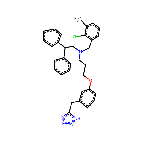 FC(F)(F)c1cccc(CN(CCCOc2cccc(Cc3nnn[nH]3)c2)CC(c2ccccc2)c2ccccc2)c1Cl